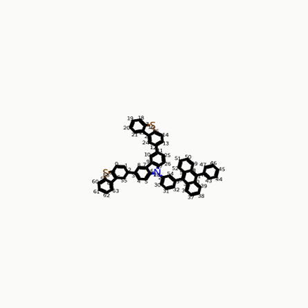 C1=CC(c2ccc3c(c2)c2cc(-c4ccc5sc6ccccc6c5c4)ccc2n3-c2cccc(-c3c4ccccc4c(-c4ccccc4)c4ccccc34)c2)Cc2c1sc1ccccc21